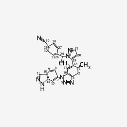 Cc1cc2nnn(-c3ccc4cn[nH]c4c3)c2cc1-c1ccnn1C(C)c1ccc(C#N)cc1